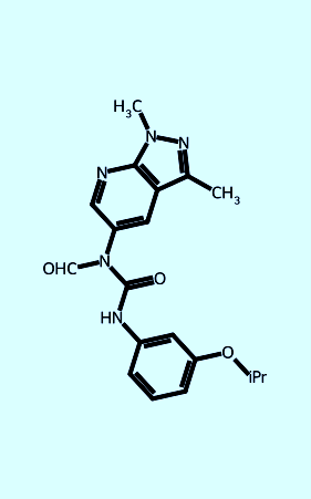 Cc1nn(C)c2ncc(N(C=O)C(=O)Nc3cccc(OC(C)C)c3)cc12